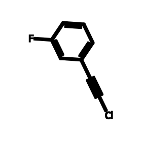 Fc1cccc(C#CCl)c1